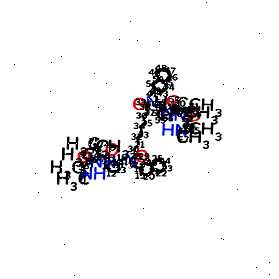 CN[C@@H](C)C(=O)N[C@H](C(=O)N1CCC[C@H]1CN(Cc1ccc2ccccc2c1)C(=O)CCCCCCCCC(=O)N(Cc1ccc2ccccc2c1)C[C@@H]1CCCN1C(=O)[C@@H](NC(=O)[C@H](C)NC)C(C)(C)C)C(C)(C)C